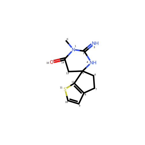 CN1C(=N)NC2(CCc3ccsc32)CC1=O